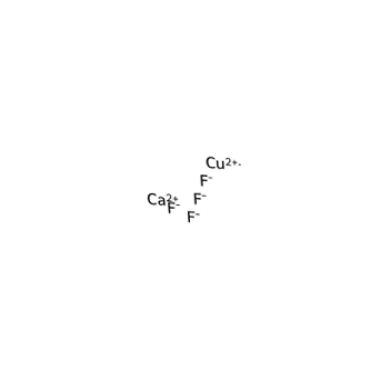 [Ca+2].[Cu+2].[F-].[F-].[F-].[F-]